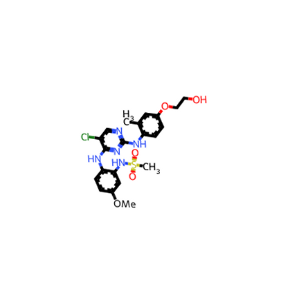 COc1ccc(Nc2nc(Nc3ccc(OCCO)cc3C)ncc2Cl)c(NS(C)(=O)=O)c1